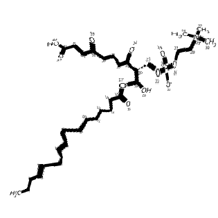 CCCCCCCCCCCCCCCC(=O)OC(O)[C@@H](COP(=O)([O-])OCC[N+](C)(C)C)C(=O)CCCC(=O)/C=C/C(=O)O